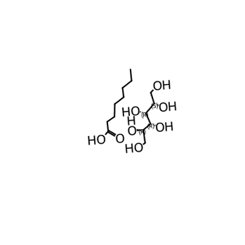 CCCCCCCC(=O)O.OC[C@@H](O)[C@@H](O)[C@H](O)[C@@H](O)CO